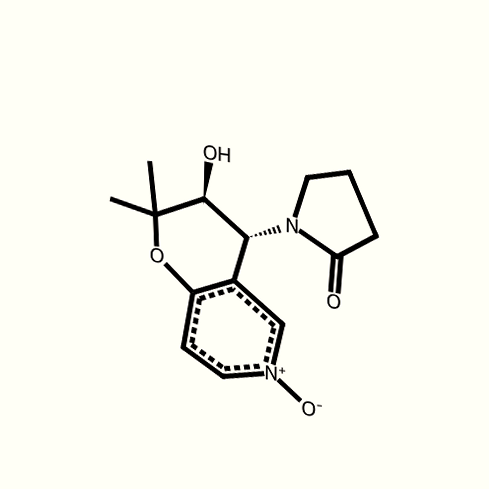 CC1(C)Oc2cc[n+]([O-])cc2[C@@H](N2CCCC2=O)[C@@H]1O